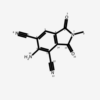 CN1C(=O)c2cc(C#N)c(N)c(C#N)c2C1=O